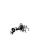 CN(C)Cc1cccc(OCCCC(=N)NS(N)(=O)=O)c1